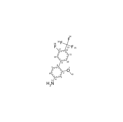 COc1cc(N)ccc1-c1ccc(C(F)(F)F)c(F)c1